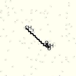 CCCCCCCCCCCCCCC=CCCC1CC(=O)NC1=O